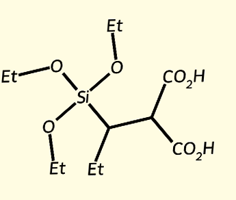 CCO[Si](OCC)(OCC)C(CC)C(C(=O)O)C(=O)O